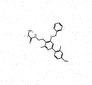 Cc1cc(C(C)(C)C)ccc1-c1cc(OCc2ccccc2)c(CCNC(=O)[C@H](C)N)c(C)n1